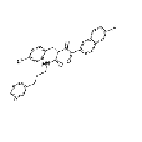 O=C(N[C@@H](Cc1ccc(Cl)cc1)C(=O)NCCCc1cccnc1)c1ccc2cc(F)ccc2c1